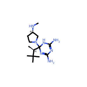 CN[C@@H]1CCN(C2([C@H](C)C(C)(C)C)N=C(N)N=C(N)N2)C1